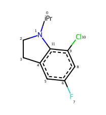 CC(C)N1CCc2cc(F)cc(Cl)c21